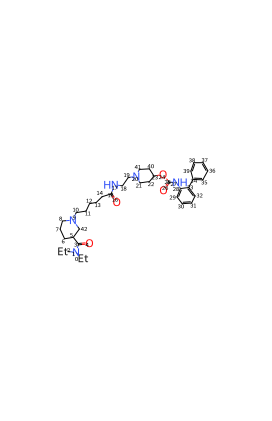 CCN(CC)C(=O)C1CCCN(CCCCCC(=O)NCCN2CCC(OC(=O)Nc3ccccc3-c3ccccc3)CC2)C1